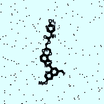 COc1cnc2c(-c3nc4ccc5c(c4s3)OC[C@H](COC(=O)Nc3cnc(C)nc3)O5)cc(CF)cc2c1